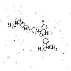 CN(C)c1ccc(CNc2ccc(F)cc2C(=O)N2CCC(NCc3ccc(N(C)C)cc3)CC2)cc1